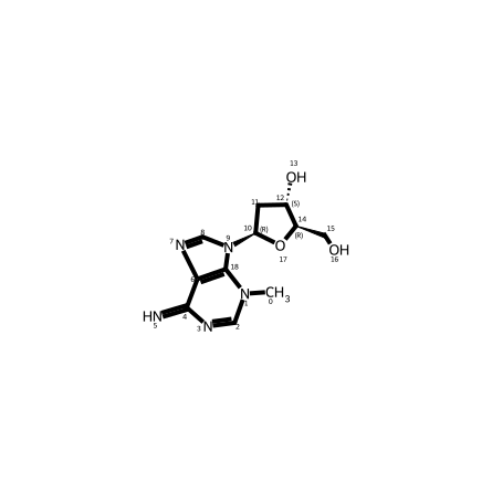 Cn1cnc(=N)c2ncn([C@H]3C[C@H](O)[C@@H](CO)O3)c21